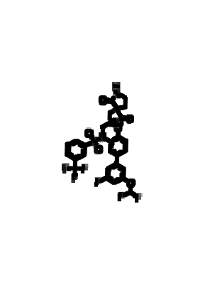 O=C(O)[C@@]1(CC2CN(S(=O)(=O)c3cccc(C(F)(F)F)c3)c3cc(-c4cc(F)cc(OC(F)F)c4)ccc3O2)CCNC1=O